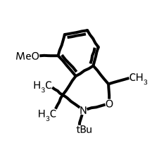 COc1cccc2c1C(C)(C)N(C(C)(C)C)OC2C